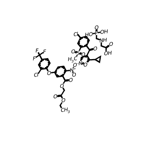 CCOC(=O)COC(=O)c1cc(Oc2ccc(C(F)(F)F)cc2Cl)ccc1[N+](=O)[O-].CS(=O)(=O)c1cc(Cl)ccc1C(=O)c1cnoc1C1CC1.O=C(O)CNCP(=O)(O)O